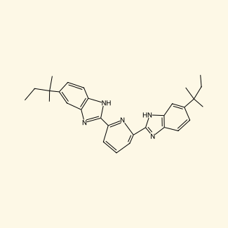 CCC(C)(C)c1ccc2[nH]c(-c3cccc(-c4nc5ccc(C(C)(C)CC)cc5[nH]4)n3)nc2c1